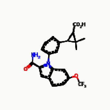 CC1(C)C(C(=O)O)C1c1cccc(-n2c(C(N)=O)cc3ccc(OC(F)(F)F)cc32)c1